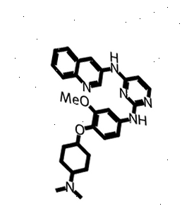 COc1cc(Nc2nccc(Nc3cnc4ccccc4c3)n2)ccc1OC1CCC(N(C)C)CC1